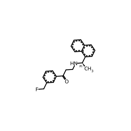 C[C@@H](NCCC(=O)c1cccc(CF)c1)c1cccc2ccccc12